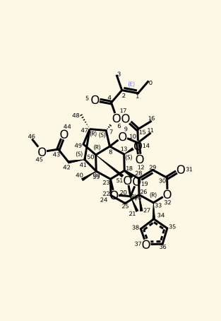 C/C=C(\C)C(=O)O[C@@H]1C2(OC(C)=O)[C@@H](OC(C)=O)C34O[C@]5(C)OC3(CC[C@]3(C)C4=CC(=O)O[C@H]3c3ccoc3)[C@]3(C)[C@@H](CC(=O)OC)[C@@]1(C)C[C@]23O5